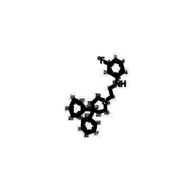 Fc1cccc(NCCN2CCC(c3ccccc3)(c3ccccc3)CC2)c1